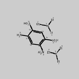 CCN(CC)CC.CCN(CC)CC.Nc1cc(N)c(S(=O)(=O)O)cc1S(=O)(=O)O